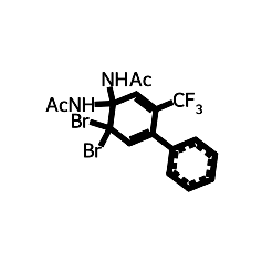 CC(=O)NC1(NC(C)=O)C=C(C(F)(F)F)C(c2ccccc2)=CC1(Br)Br